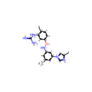 Cc1cn(-c2cc(NOc3ccc(C)c(NC(=N)N)c3)cc(C(F)(F)F)c2)cn1